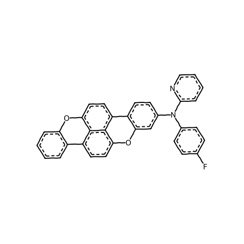 Fc1ccc(N(c2ccc3c(c2)Oc2ccc4c5c(ccc-3c25)Oc2ccccc2-4)c2ccccn2)cc1